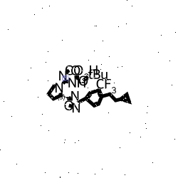 CC(C)(C)OC(=O)N/C(=N\C(=O)O)N1CCC[C@H]1c1nc(-c2ccc(CCC3CC3)c(C(F)(F)F)c2)no1